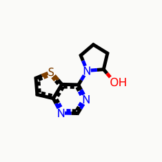 OC1CCCN1c1ncnc2ccsc12